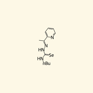 CCCCNC(=[Se])NN=C(C)c1ccccn1